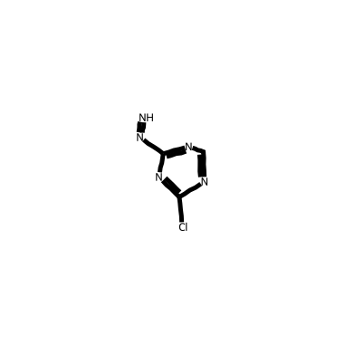 N=Nc1ncnc(Cl)n1